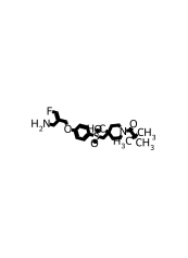 CC1(CS(=O)(=O)c2ccc(OC/C(=C/F)CN)cc2)CCN(C(=O)C(C)(C)C)CC1